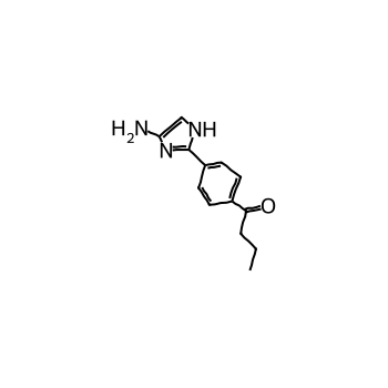 CCCC(=O)c1ccc(-c2nc(N)c[nH]2)cc1